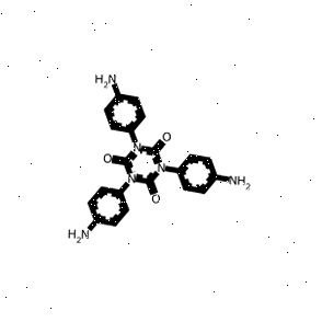 Nc1ccc(-n2c(=O)n(-c3ccc(N)cc3)c(=O)n(-c3ccc(N)cc3)c2=O)cc1